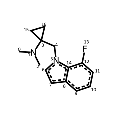 CN(C)C1(Cn2ccc3cccc(F)c32)CC1